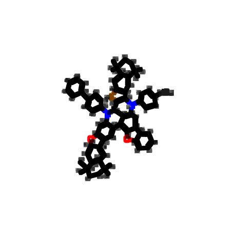 CC(C)(C)c1ccc(N2c3cc4c(oc5ccccc54)c4c3B(c3sc5cc6c(cc5c32)C(C)(C)CCC6(C)C)N(c2ccc(-c3ccccc3)cc2)c2cc3oc5cc6c(cc5c3cc2-4)C(C)(C)CCC6(C)C)cc1